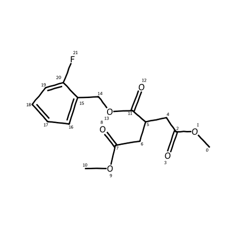 COC(=O)CC(CC(=O)OC)C(=O)OCc1ccccc1F